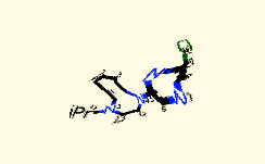 CC(C)N1CCN(c2cncc(Cl)n2)CC1